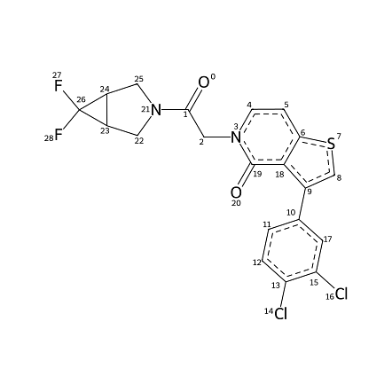 O=C(Cn1ccc2scc(-c3ccc(Cl)c(Cl)c3)c2c1=O)N1CC2C(C1)C2(F)F